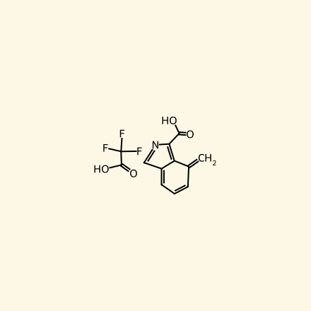 C=c1cccc2c1=C(C(=O)O)N=C2.O=C(O)C(F)(F)F